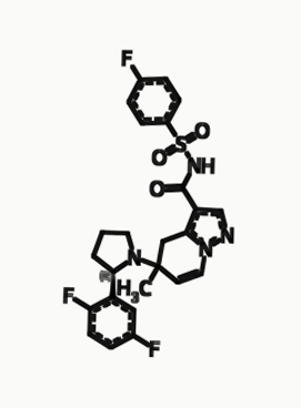 CC1(N2CCC[C@@H]2c2cc(F)ccc2F)C=Cn2ncc(C(=O)NS(=O)(=O)c3ccc(F)cc3)c2C1